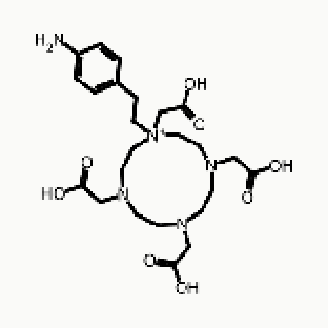 Nc1ccc(CC[N+]2(CC(=O)O)CCN(CC(=O)O)CCN(CC(=O)O)CCN(CC(=O)O)CC2)cc1